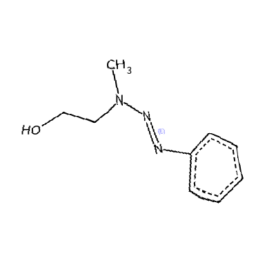 CN(CCO)/N=N/c1ccccc1